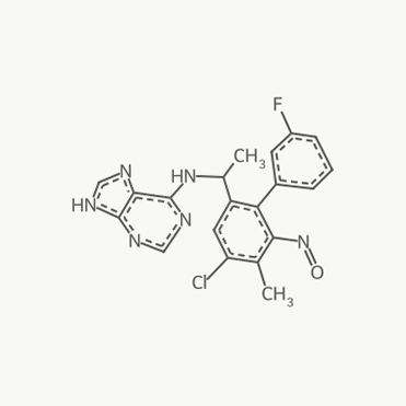 Cc1c(Cl)cc(C(C)Nc2ncnc3[nH]cnc23)c(-c2cccc(F)c2)c1N=O